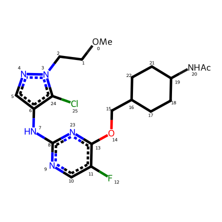 COCCn1ncc(Nc2ncc(F)c(OCC3CCC(NC(C)=O)CC3)n2)c1Cl